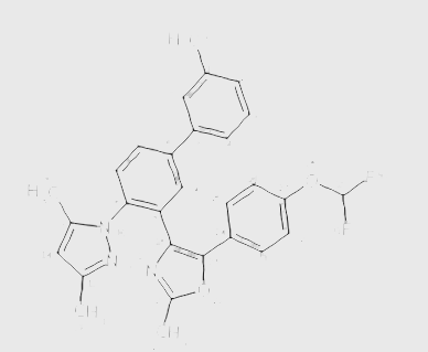 Cc1cccc(-c2ccc(-n3nc(C)cc3C)c(-c3nc(C)oc3-c3ccc(OC(F)F)cc3)c2)c1